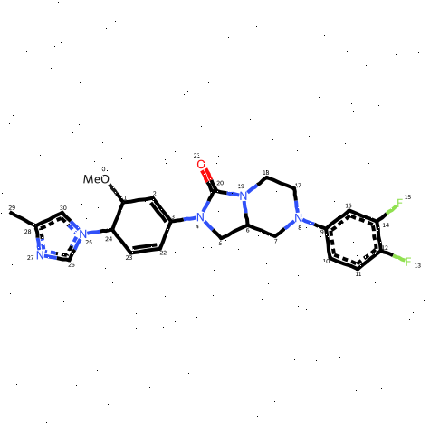 COC1C=C(N2CC3CN(c4ccc(F)c(F)c4)CCN3C2=O)C=CC1n1cnc(C)c1